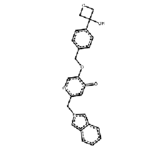 O=c1cc(Cn2cc3ccccc3c2)occ1OCc1ccc(C2(O)COC2)cc1